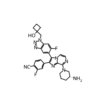 N#Cc1ccc(-c2nc3c(N4CCC[C@@H](N)C4)nccn3c2-c2cc3nnn(CC4(O)CCC4)c3cc2F)cc1F